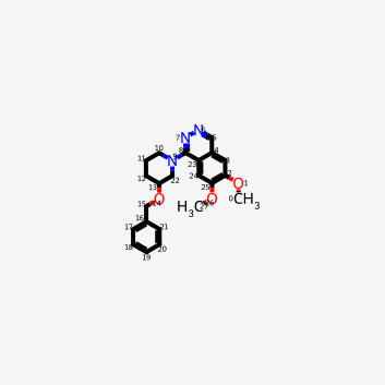 COc1cc2cnnc(N3CCCC(OCc4ccccc4)C3)c2cc1OC